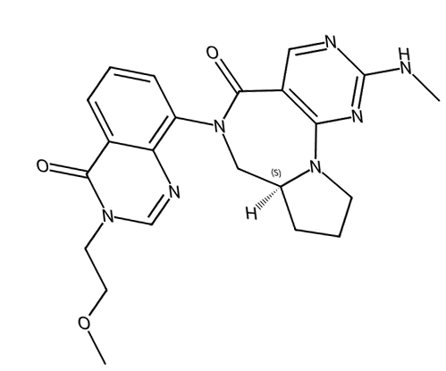 CNc1ncc2c(n1)N1CCC[C@H]1CN(c1cccc3c(=O)n(CCOC)cnc13)C2=O